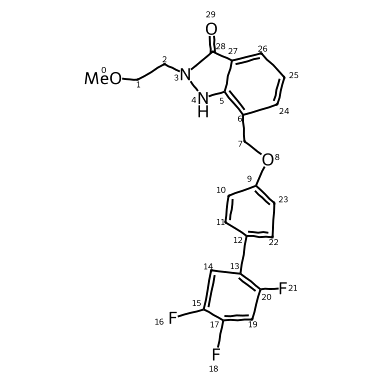 COCCn1[nH]c2c(COc3ccc(-c4cc(F)c(F)cc4F)cc3)cccc2c1=O